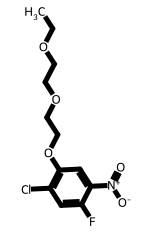 CCOCCOCCOc1cc([N+](=O)[O-])c(F)cc1Cl